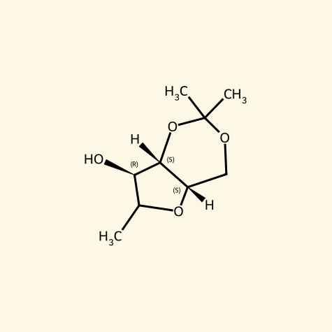 CC1O[C@H]2COC(C)(C)O[C@H]2[C@@H]1O